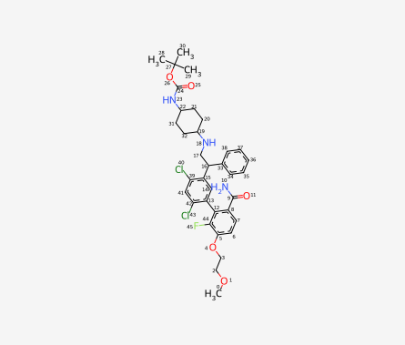 COCCOc1ccc(C(N)=O)c(-c2cc(C(CNC3CCC(NC(=O)OC(C)(C)C)CC3)c3ccccc3)c(Cl)cc2Cl)c1F